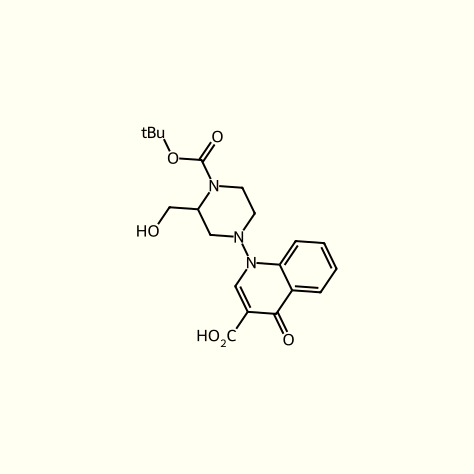 CC(C)(C)OC(=O)N1CCN(n2cc(C(=O)O)c(=O)c3ccccc32)CC1CO